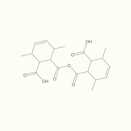 CC1C=CC(C)C(C(=O)OC(=O)C2C(C)C=CC(C)C2C(=O)O)C1C(=O)O